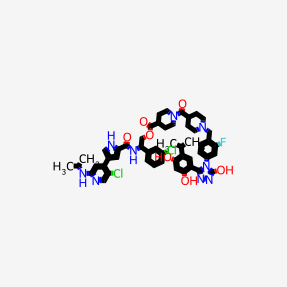 CC(C)Nc1cc(-c2c[nH]c(C(=O)NC(COC(=O)C3CCN(C(=O)C4CCN(Cc5ccc(-n6c(O)nnc6-c6cc(C(C)C)c(O)cc6O)cc5F)CC4)CC3)c3cccc(Cl)c3)c2)c(Cl)cn1